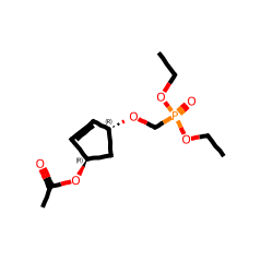 CCOP(=O)(CO[C@H]1C=C[C@H](OC(C)=O)C1)OCC